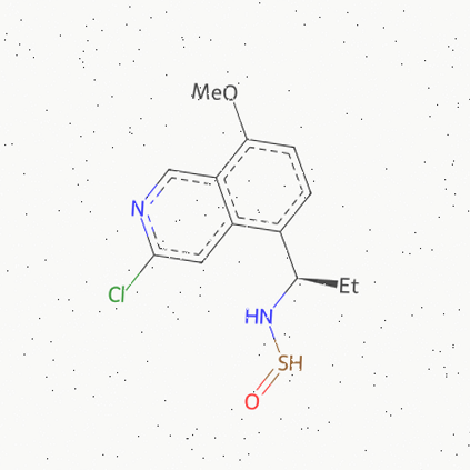 CC[C@@H](N[SH]=O)c1ccc(OC)c2cnc(Cl)cc12